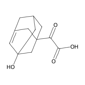 O=C(O)C(=O)C12CC3=CC(O)(CC(C3)C1)C2